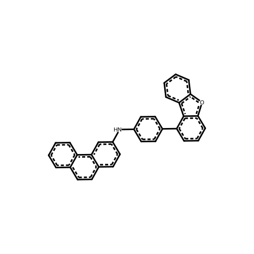 c1ccc2c(c1)ccc1ccc(Nc3ccc(-c4cccc5oc6ccccc6c45)cc3)cc12